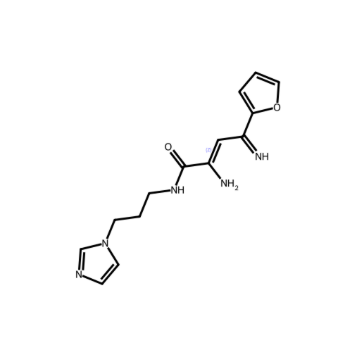 N=C(/C=C(\N)C(=O)NCCCn1ccnc1)c1ccco1